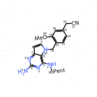 CCCCCNc1nc(N)nc2ccn(Cc3ccc(CC#N)cc3OC)c12